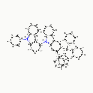 c1ccc(-c2cc3c(cc2[Si](c2ccccc2)(c2ccccc2)c2ccccc2)c2ccccc2n3-c2cccc3c2c2ccccc2n3-c2ccccc2)cc1